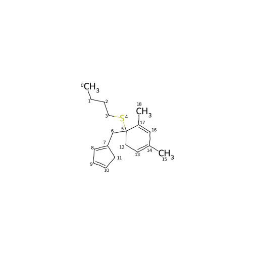 CCCCSC1(CC2=CC=CC2)CC=C(C)C=C1C